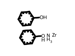 N.Oc1ccccc1.Oc1ccccc1.[Zr]